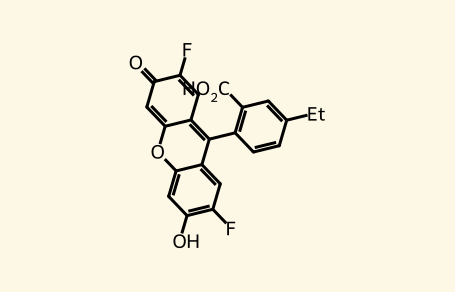 CCc1ccc(-c2c3cc(F)c(=O)cc-3oc3cc(O)c(F)cc23)c(C(=O)O)c1